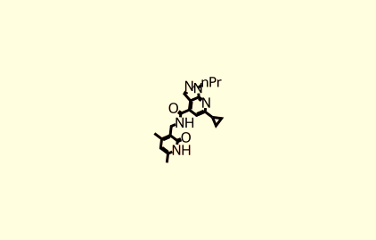 CCCn1ncc2c(C(=O)NCc3c(C)cc(C)[nH]c3=O)cc(C3CC3)nc21